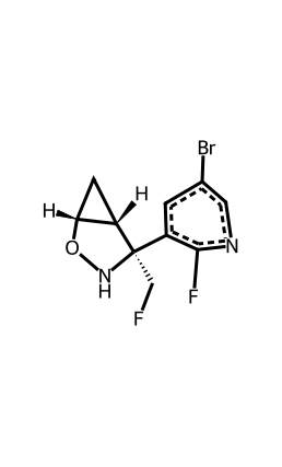 FC[C@]1(c2cc(Br)cnc2F)NO[C@@H]2C[C@@H]21